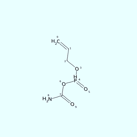 C=CCO[PH](=O)OC(N)=O